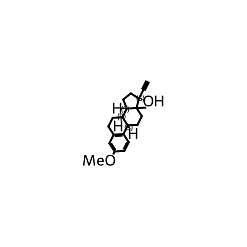 C#C[C@]1(O)CC[C@H]2[C@@H]3CCc4cc(OC)ccc4[C@H]3CCC21C